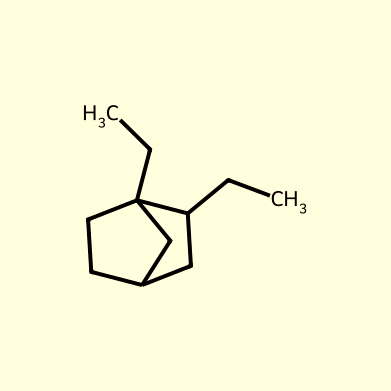 CCC1CC2CCC1(CC)C2